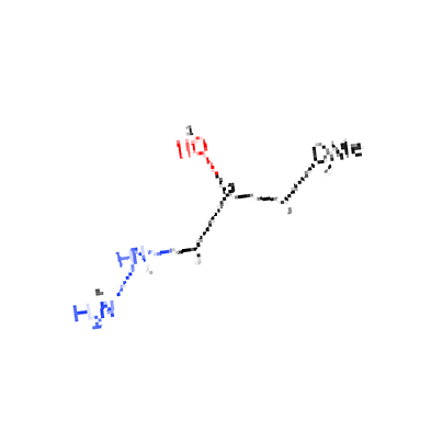 COCC(O)CNN